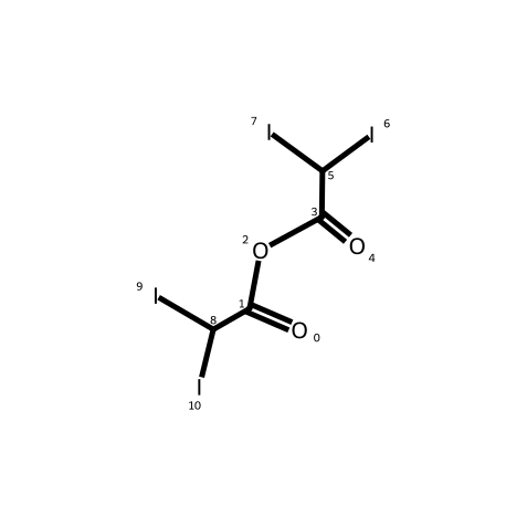 O=C(OC(=O)C(I)I)C(I)I